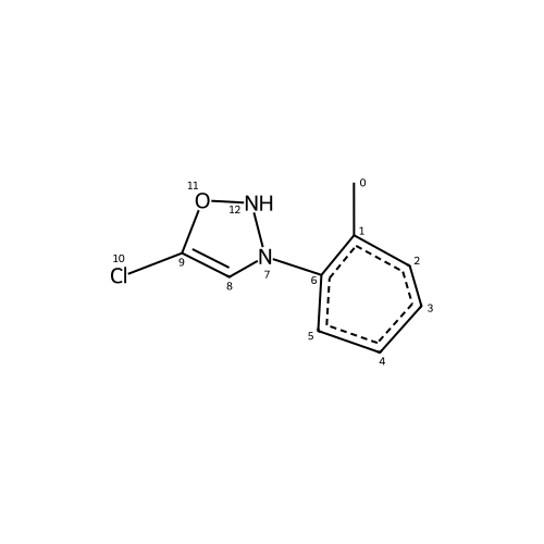 Cc1ccccc1N1C=C(Cl)ON1